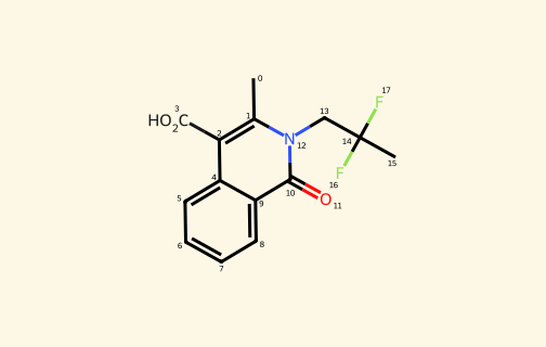 Cc1c(C(=O)O)c2ccccc2c(=O)n1CC(C)(F)F